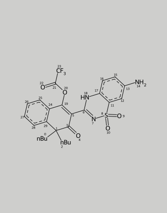 CCCCC1(CCCC)C(=O)C(C2=NS(=O)(=O)c3cc(N)ccc3N2)=C(OC(=O)C(F)(F)F)c2ccccc21